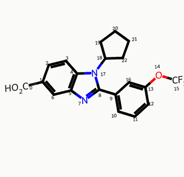 O=C(O)c1ccc2c(c1)nc(-c1cccc(OC(F)(F)F)c1)n2C1CCCC1